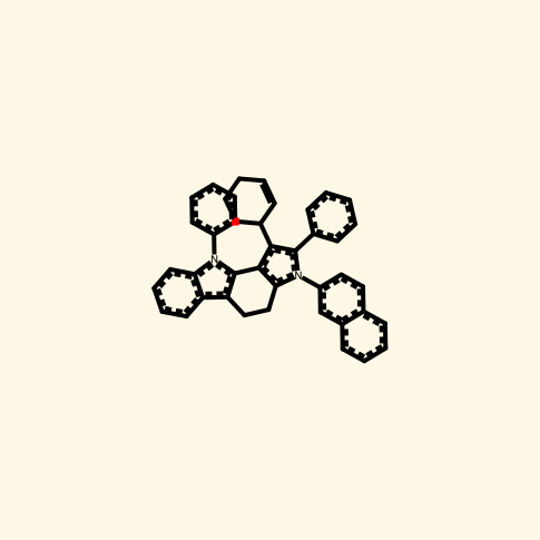 C1=CC(c2c3c(n(-c4ccc5ccccc5c4)c2-c2ccccc2)CCc2c-3n(-c3ccccc3)c3ccccc23)CCC1